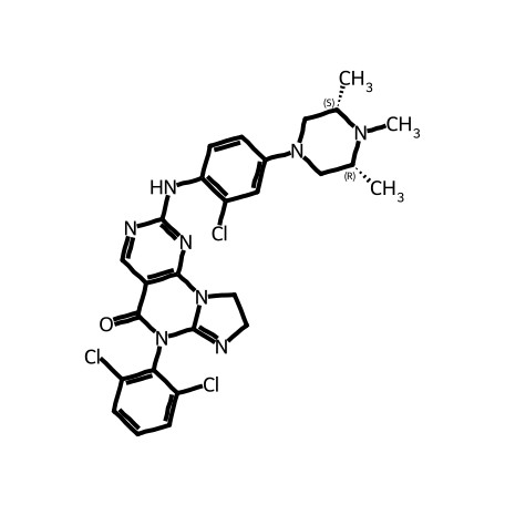 C[C@@H]1CN(c2ccc(Nc3ncc4c(n3)N3CCN=C3N(c3c(Cl)cccc3Cl)C4=O)c(Cl)c2)C[C@H](C)N1C